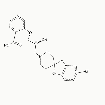 O=C(O)c1ccncc1OC[C@@H](O)CN1CCC2(CC1)Cc1cc(Cl)ccc1O2